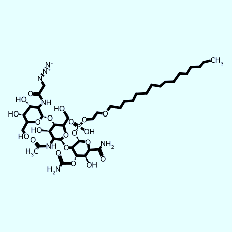 CCCCCCCCCCCCCCCCOCCOP(=O)(O)O[C@@H]1OC(C(N)=O)[C@@H](O)[C@H](OC(N)=O)C1O[C@@H]1OC(CO)[C@@H](O[C@@H]2OC(CO)[C@H](O)[C@H](O)C2NC(=O)CN=[N+]=[N-])[C@H](O)C1NC(C)=O